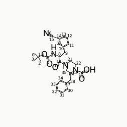 CC(C)(C)OC(=O)NC(Cc1cccc(C#N)c1)C(=O)N1CCN(C(=O)O)[C@@H](Cc2ccccc2)C1